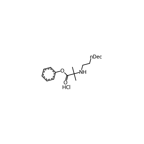 CCCCCCCCCCCCNC(C)(C)C(=O)Oc1ccccc1.Cl